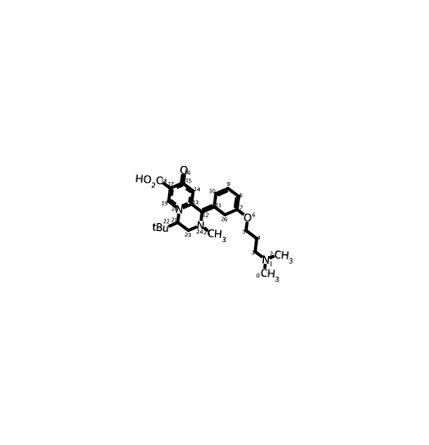 CN(C)CCCOC1=CC=C/C(=C2\c3cc(=O)c(C(=O)O)cn3C(C(C)(C)C)CN2C)C1